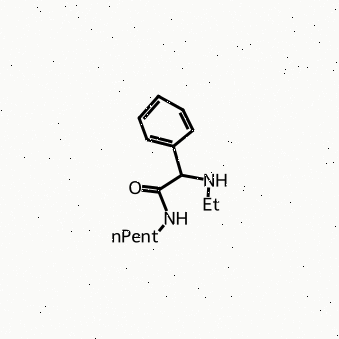 CCCCCNC(=O)C(NCC)c1ccccc1